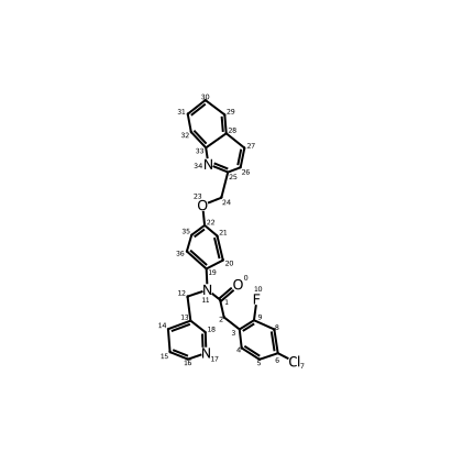 O=C(Cc1ccc(Cl)cc1F)N(Cc1cccnc1)c1ccc(OCc2ccc3ccccc3n2)cc1